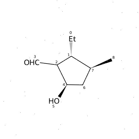 CC[C@H]1C(C=O)[C@H](O)C[C@@H]1C